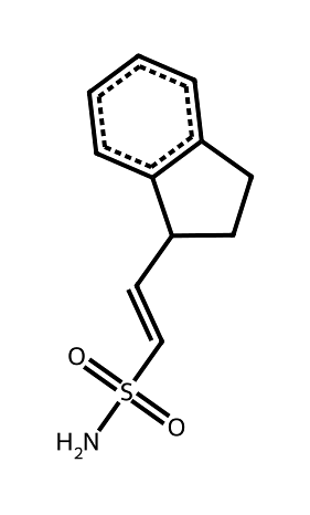 NS(=O)(=O)C=CC1CCc2ccccc21